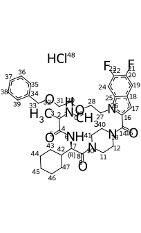 CNC(C)C(=O)N[C@@H](C(=O)N1CCN(C(=O)c2cc3cc(F)c(F)cc3n2CCOCCOCc2ccccc2)CC1)C1CCCCC1.Cl